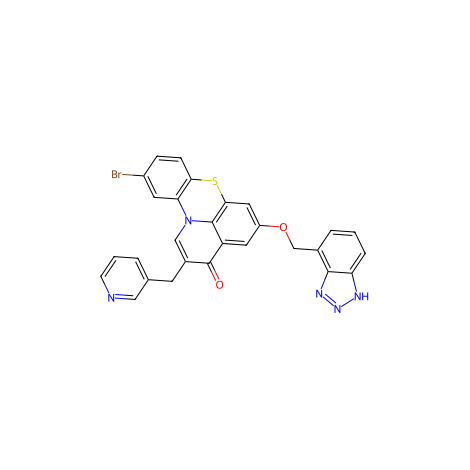 O=c1c(Cc2cccnc2)cn2c3c(cc(OCc4cccc5[nH]nnc45)cc13)Sc1ccc(Br)cc1-2